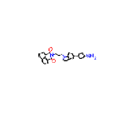 Nc1ccc(-c2ccc3c(ccn3CCCN3C(=O)c4cccc5cccc(c45)C3=O)c2)cc1